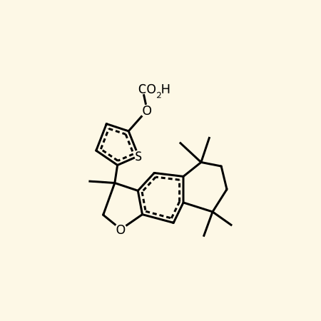 CC1(C)CCC(C)(C)c2cc3c(cc21)OCC3(C)c1ccc(OC(=O)O)s1